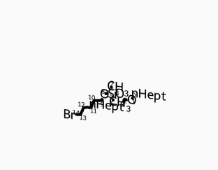 CCCCCCCOC(CCCCCCC)O[Si](C)(C)OCCCCCBr